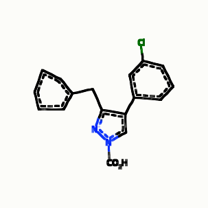 O=C(O)n1cc(-c2cccc(Cl)c2)c(Cc2ccccc2)n1